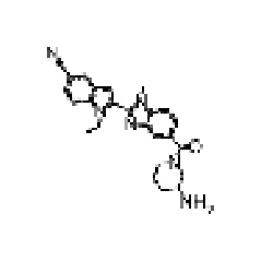 CCn1c(-c2nc3cc(C(=O)N4CCCC(N)C4)ccc3n2C)cc2cc(C#N)ccc21